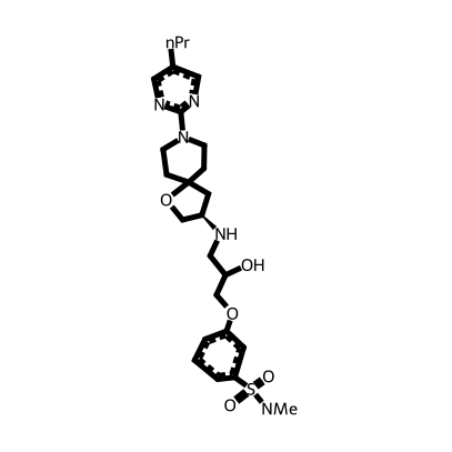 CCCc1cnc(N2CCC3(CC2)C[C@@H](NCC(O)COc2cccc(S(=O)(=O)NC)c2)CO3)nc1